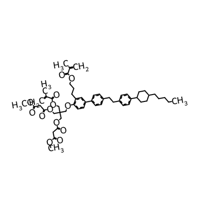 C=C(C)C(=O)OCCCc1cc(-c2ccc(CCc3ccc(C4CCC(CCCCC)CC4)cc3)cc2)ccc1OCC(COC(=O)CC(=O)OC)(COC(=O)CC(=O)OC)COC(=O)C(=C)C